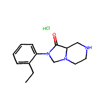 CCc1ccccc1N1CN2CCNCC2C1=O.Cl